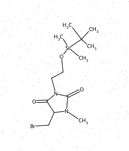 CN1C(=O)N(CCO[Si](C)(C)C(C)(C)C)C(=O)C1CBr